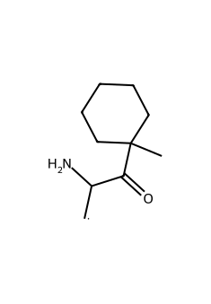 [CH2]C(N)C(=O)C1(C)CCCCC1